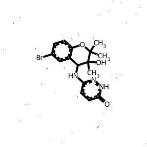 CC1(C)Oc2ccc(Br)cc2C(Nc2ccc(=O)[nH]n2)C1(C)O